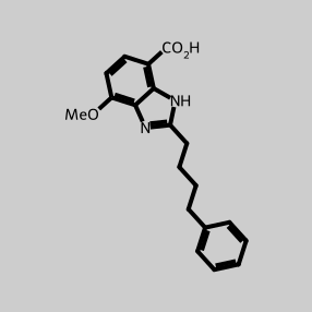 COc1ccc(C(=O)O)c2[nH]c(CCCCc3ccccc3)nc12